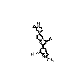 Cc1cn2nc(C3=CC(=C4CC4)N4C=C(N5CCNC6(CC6)C5)C=CC4=N3)cc(C)c2n1